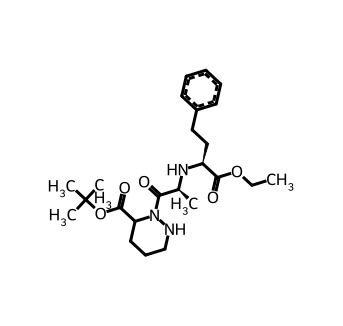 CCOC(=O)[C@H](CCc1ccccc1)N[C@@H](C)C(=O)N1NCCCC1C(=O)OC(C)(C)C